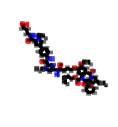 C=CCOC(=O)N1c2cc(OCCCC(=O)Nc3cn(C)c(C(=O)Nc4ccc(-c5cc(C(=O)NCCCO)n(C)c5)cc4)n3)c(OC)cc2C(=O)N2CC(=C)C[C@H]2C1OC1CCCCO1